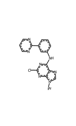 CC(C)n1cnc2c(Nc3cccc(-c4ncccn4)c3)nc(Cl)nc21